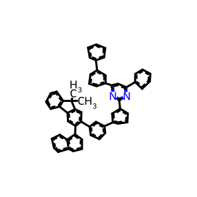 CC1(C)c2ccccc2-c2cc(-c3cccc4ccccc34)c(-c3cccc(-c4cccc(-c5nc(-c6ccccc6)cc(-c6cccc(-c7ccccc7)c6)n5)c4)c3)cc21